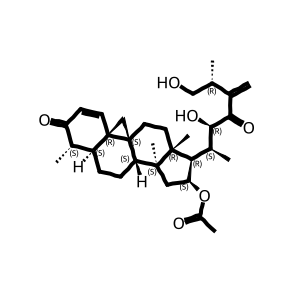 C=C(C(=O)[C@H](O)[C@@H](C)[C@H]1[C@@H](OC(C)=O)C[C@@]2(C)[C@@H]3CC[C@H]4[C@H](C)C(=O)C=C[C@@]45C[C@@]35CC[C@]12C)[C@@H](C)CO